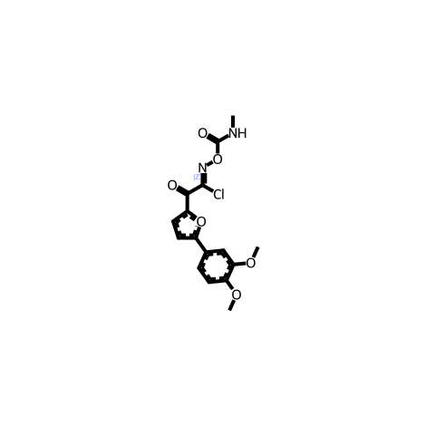 CNC(=O)O/N=C(\Cl)C(=O)c1ccc(-c2ccc(OC)c(OC)c2)o1